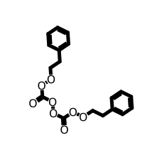 O=C(OOCCc1ccccc1)OOC(=O)OOCCc1ccccc1